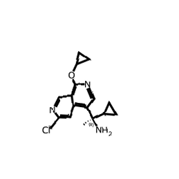 C[C@](N)(c1cnc(OC2CC2)c2cnc(Cl)cc12)C1CC1